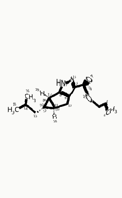 CCOC(=O)c1n[nH]c2c1C[C@H]1[C@H](CC(C)C)[C@@H]21